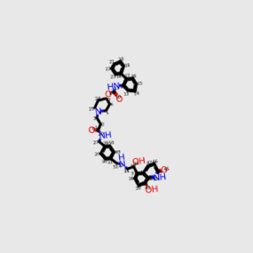 O=C(CCN1CCC(OC(=O)Nc2ccccc2-c2ccccc2)CC1)NCc1ccc(CNCC(O)c2ccc(O)c3[nH]c(=O)ccc23)cc1